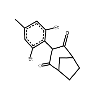 CCc1cc(C)cc(CC)c1C1C(=O)C2CCC(C2)C1=O